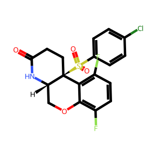 O=C1CC[C@]2(S(=O)(=O)c3ccc(Cl)cc3)c3c(F)ccc(F)c3OC[C@@H]2N1